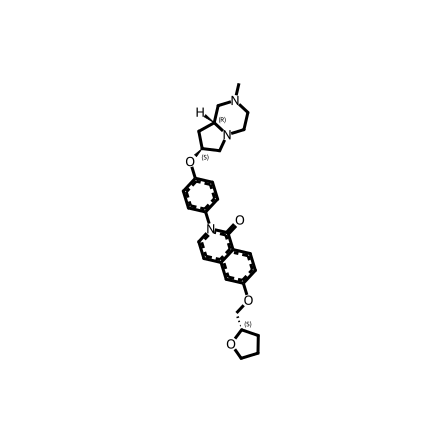 CN1CCN2C[C@@H](Oc3ccc(-n4ccc5cc(OC[C@@H]6CCCO6)ccc5c4=O)cc3)C[C@@H]2C1